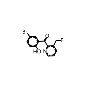 O=C(c1cc(Br)ccc1O)c1ncccc1CF